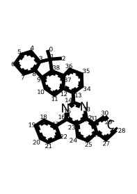 CC1(C)c2ccccc2-c2ccc3c(-c4nc(-c5ccccc5)c5ccc6ccccc6c5n4)cccc3c21